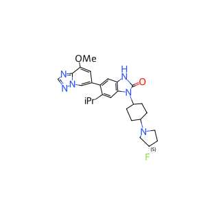 COc1cc(-c2cc3[nH]c(=O)n(C4CCC(N5CC[C@H](F)C5)CC4)c3cc2C(C)C)cn2ncnc12